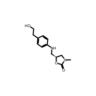 CN1C[C@H](CNc2ccc(CCO)cc2)OC1=O